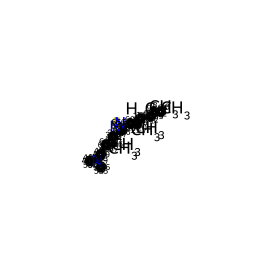 Cc1ccc2c(c1)C(C)(C)c1cc(-c3ccc4c(c3)C(C)(C)c3cc(-c5ccc(-c6ccc7c(c6)C(C)(C)c6cc(-c8ccc(N(c9ccccc9)c9ccccc9)cc8)ccc6-7)c6nsnc56)ccc3-4)ccc1-2